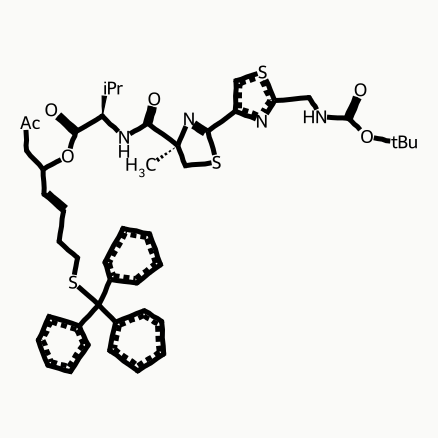 CC(=O)CC(/C=C/CCSC(c1ccccc1)(c1ccccc1)c1ccccc1)OC(=O)[C@H](NC(=O)[C@]1(C)CSC(c2csc(CNC(=O)OC(C)(C)C)n2)=N1)C(C)C